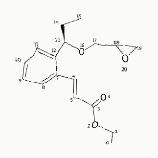 CCOC(=O)/C=C/c1ccccc1[C@@H](CC)OCC1CO1